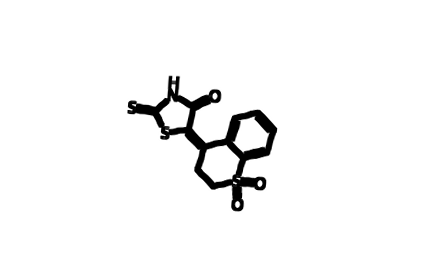 O=C1NC(=S)SC1=C1CCS(=O)(=O)c2ccccc21